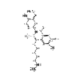 CN/C=C1/C=C(N(C(=N)c2ccc(C#N)c(F)c2)/C(C)=C/CCCCCNC=O)C=CC1=N